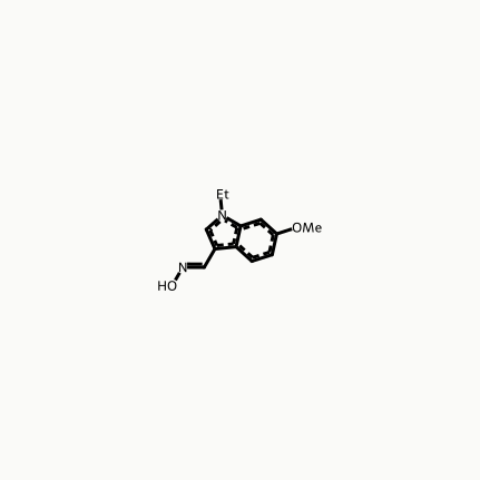 CCn1cc(/C=N/O)c2ccc(OC)cc21